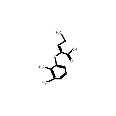 CC/C=C(/Oc1cccc(C)c1C)C(=O)O